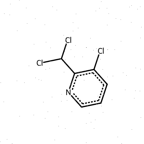 Clc1cccnc1C(Cl)Cl